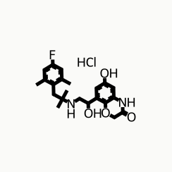 Cc1cc(F)cc(C)c1CC(C)(C)NCC(O)c1cc(O)cc2c1OCC(=O)N2.Cl